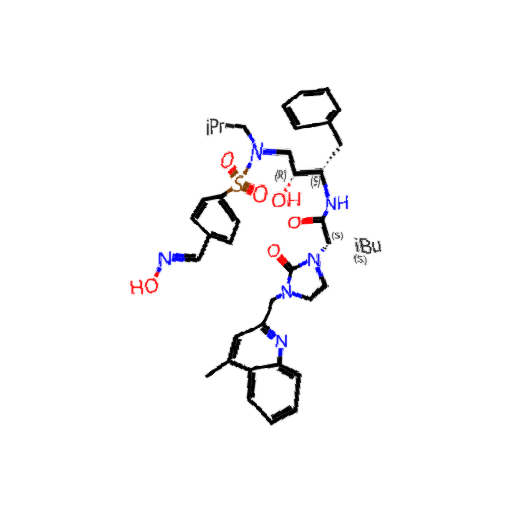 CC[C@H](C)[C@@H](C(=O)N[C@@H](Cc1ccccc1)[C@H](O)CN(CC(C)C)S(=O)(=O)c1ccc(C=NO)cc1)N1CCN(Cc2cc(C)c3ccccc3n2)C1=O